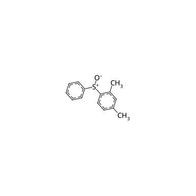 Cc1ccc([S+]([O-])c2ccccc2)c(C)c1